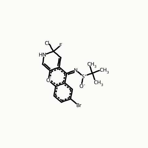 CC(C)(C)[S+]([O-])N=c1c2c(oc3ccc(Br)cc13)=CNC(F)(Cl)C=2